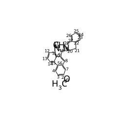 COc1ccc2c(c1)cc1c3c(cccc32)N(C)C1N1CCc2ccccc2C1